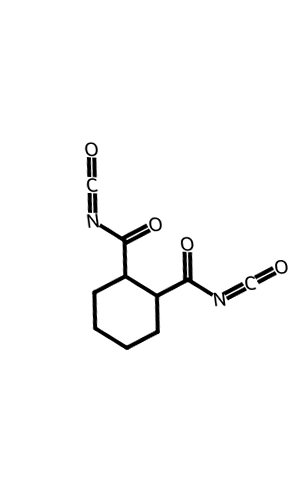 O=C=NC(=O)C1CCCCC1C(=O)N=C=O